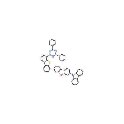 c1ccc(-c2nc(-c3ccccc3)nc(-c3cccc4c3sc3c(-c5ccc6c(c5)oc5cc(-n7c8ccccc8c8ccccc87)ccc56)cccc34)n2)cc1